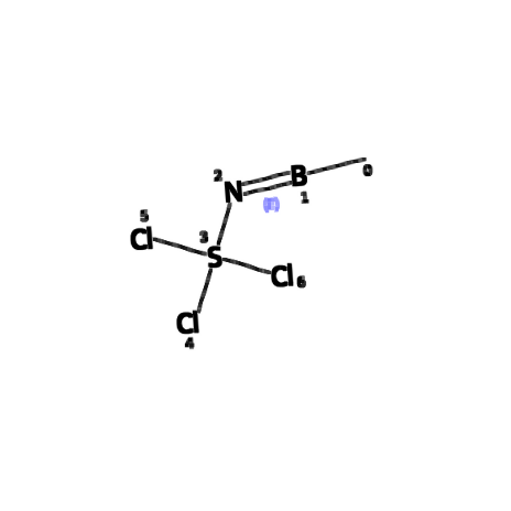 C/B=N/S(Cl)(Cl)Cl